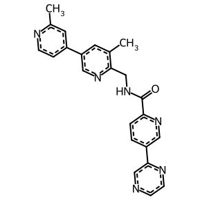 Cc1cc(-c2cnc(CNC(=O)c3ccc(-c4cnccn4)cn3)c(C)c2)ccn1